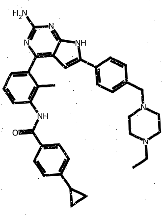 CCN1CCN(Cc2ccc(-c3cc4c(-c5cccc(NC(=O)c6ccc(C7CC7)cc6)c5C)nc(N)nc4[nH]3)cc2)CC1